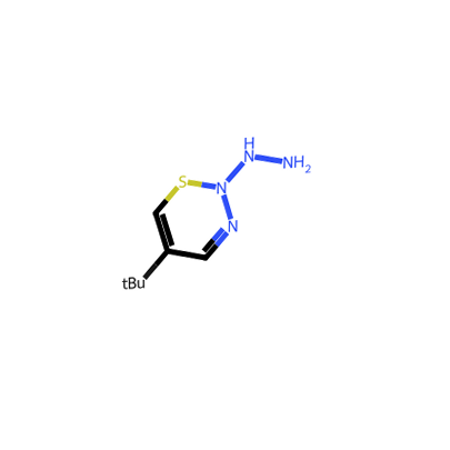 CC(C)(C)C1=CSN(NN)N=C1